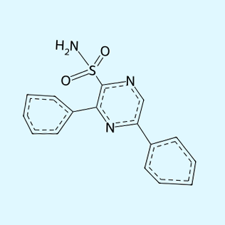 NS(=O)(=O)c1ncc(-c2ccccc2)nc1-c1ccccc1